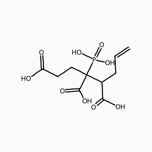 C=CCC(C(=O)O)C(CCC(=O)O)(C(=O)O)P(=O)(O)O